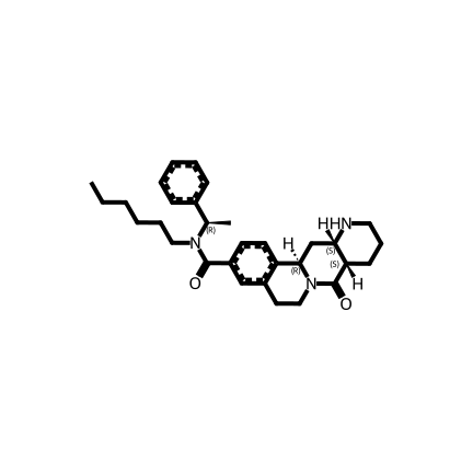 CCCCCCN(C(=O)c1ccc2c(c1)CCN1C(=O)[C@H]3CCCN[C@H]3C[C@H]21)[C@H](C)c1ccccc1